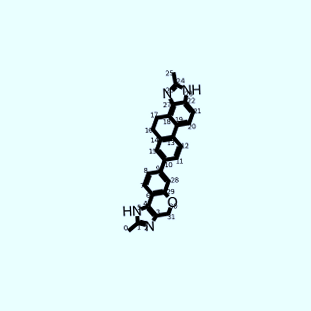 Cc1nc2c([nH]1)-c1ccc(-c3ccc4c(c3)CCc3c-4ccc4[nH]c(C)nc34)cc1OC2